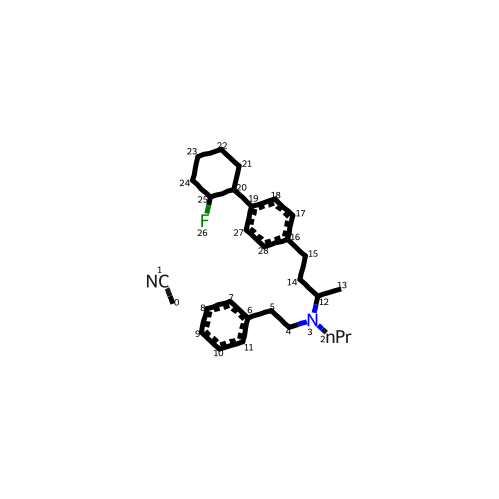 CC#N.CCCN(CCc1ccccc1)C(C)CCc1ccc(C2CCCCC2F)cc1